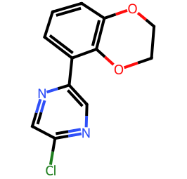 Clc1cnc(-c2cccc3c2OCCO3)cn1